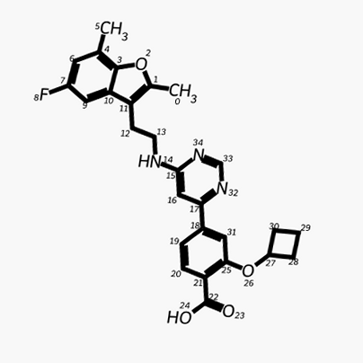 Cc1oc2c(C)cc(F)cc2c1CCNc1cc(-c2ccc(C(=O)O)c(OC3CCC3)c2)ncn1